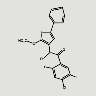 CC(C)N(C(=O)c1cc(F)c(Cl)cc1F)c1cc(-c2ccccc2)sc1OC(=O)O